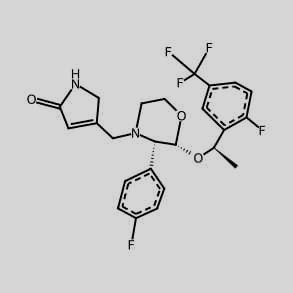 C[C@@H](O[C@H]1OCCN(CC2=CC(=O)NC2)[C@H]1c1ccc(F)cc1)c1cc(C(F)(F)F)ccc1F